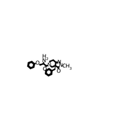 CN1N=C2CCN(C(=O)C(N)COc3ccccc3)C[C@@]2(Cc2ccccc2)C1=O